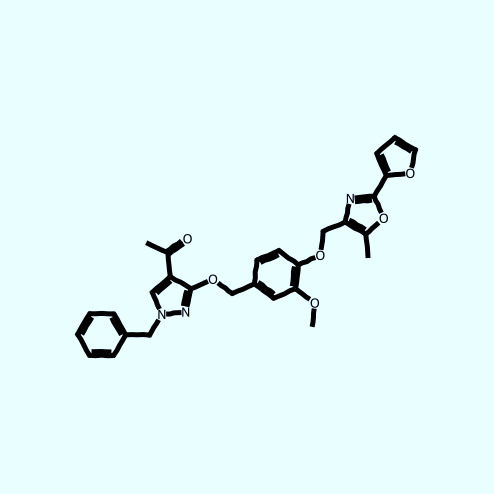 COc1cc(COc2nn(Cc3ccccc3)cc2C(C)=O)ccc1OCc1nc(-c2ccco2)oc1C